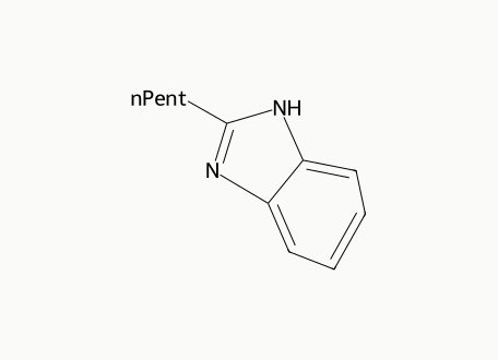 CCCCCc1nc2ccccc2[nH]1